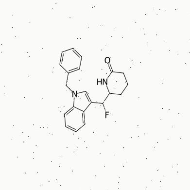 O=C1CCCC(C(F)c2cn(Cc3ccccc3)c3ccccc23)N1